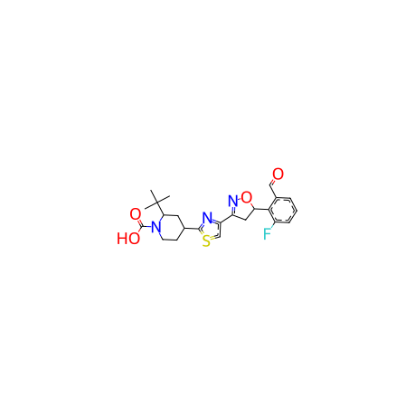 CC(C)(C)C1CC(c2nc(C3=NOC(c4c(F)cccc4C=O)C3)cs2)CCN1C(=O)O